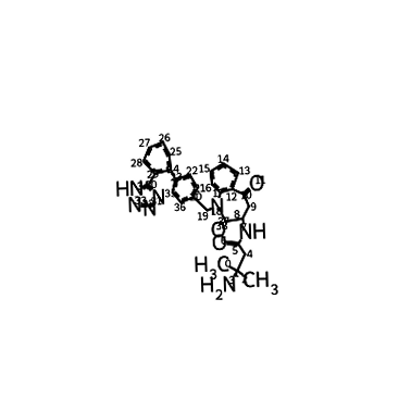 CC(C)(N)CC(=O)NC1CC(=O)c2ccccc2N(Cc2ccc(-c3ccccc3-c3nnn[nH]3)cc2)C1=O